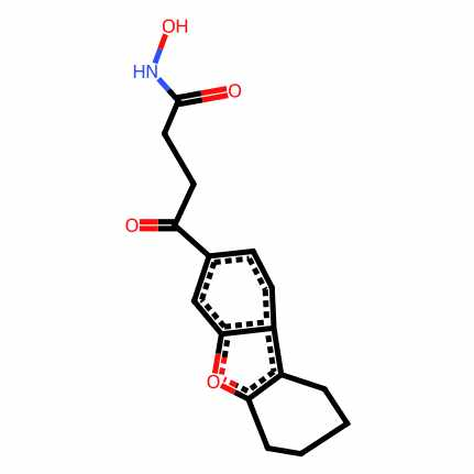 O=C(CCC(=O)c1ccc2c3c(oc2c1)CCCC3)NO